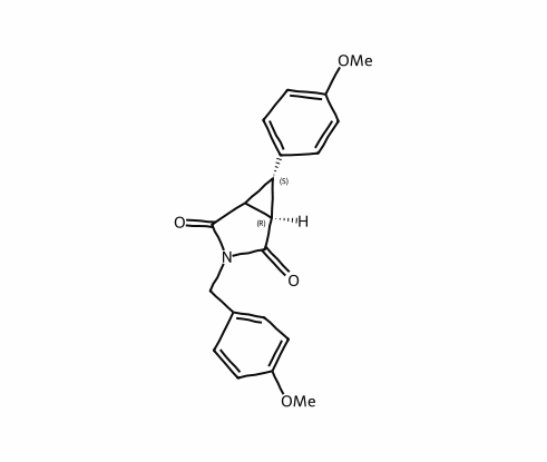 COc1ccc(CN2C(=O)C3[C@H](C2=O)[C@H]3c2ccc(OC)cc2)cc1